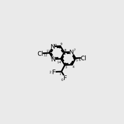 FC(F)c1cc(Cl)nc2cnc(Cl)nc12